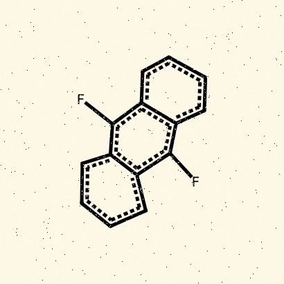 Fc1c2ccccc2c(F)c2ccccc12